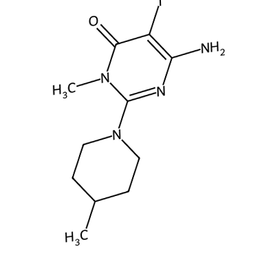 CC1CCN(c2nc(N)c(I)c(=O)n2C)CC1